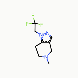 CN1CCc2c(cnn2CC(F)(F)F)C1